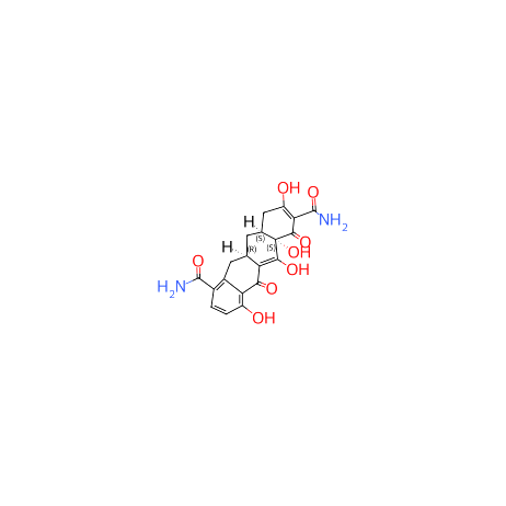 NC(=O)C1=C(O)C[C@@H]2C[C@@H]3Cc4c(C(N)=O)ccc(O)c4C(=O)C3=C(O)[C@]2(O)C1=O